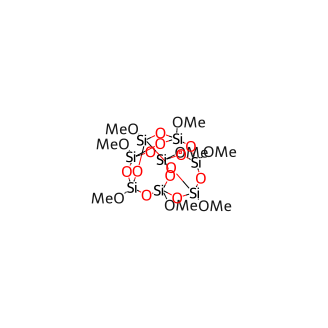 CO[Si]12O[Si]3(OC)O[Si]4(OC)O[Si](OC)(O1)O[Si]1(OC)O[Si](OC)(O2)O[Si](OC)(O3)O[Si](OC)(O4)O1